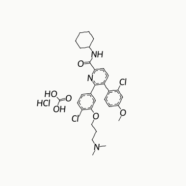 COc1ccc(-c2ccc(C(=O)NC3CCCCC3)nc2-c2ccc(Cl)c(OCCCN(C)C)c2)c(Cl)c1.Cl.O=C(O)O